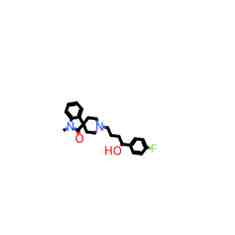 CN1C(=O)C2(CCN(CCCC(O)c3ccc(F)cc3)CC2)c2ccccc21